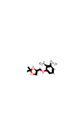 CC1(C)OCC(COc2cccc(C(=O)O)c2[N+](=O)[O-])O1